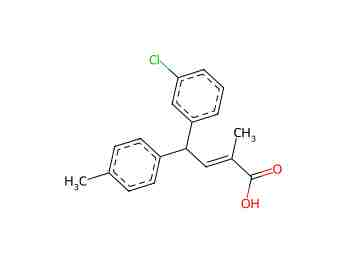 C/C(=C\C(c1ccc(C)cc1)c1cccc(Cl)c1)C(=O)O